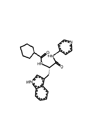 O=C(N[C@@H](Cc1c[nH]c2ccccc12)C(=O)Nc1ccncc1)C1CCCCC1